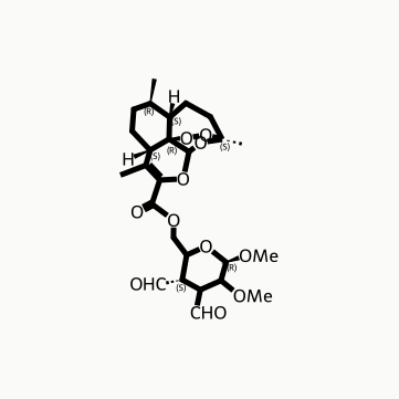 COC1C(C=O)[C@H](C=O)C(COC(=O)C2=C(C)[C@@H]3CC[C@@H](C)[C@@H]4CC[C@]5(C)OO[C@@]34C(O2)O5)O[C@H]1OC